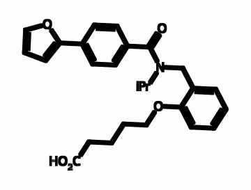 CC(C)N(Cc1ccccc1OCCCCC(=O)O)C(=O)c1ccc(-c2ccco2)cc1